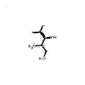 CC(C)=C(O)[C@H](N)CO